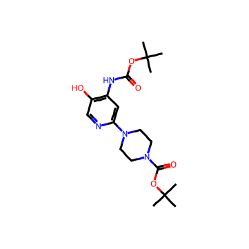 CC(C)(C)OC(=O)Nc1cc(N2CCN(C(=O)OC(C)(C)C)CC2)ncc1O